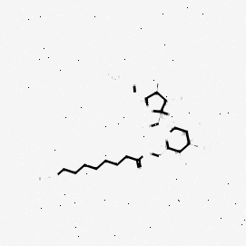 CCCCCCCCCCCCCCCCCC(=O)OC[C@H]1O[C@H](O[C@]2(CO)O[C@H](CO)[C@@H](O)[C@@H]2O)[C@H](O)[C@@H](O)[C@@H]1O.O.[NaH]